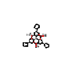 O=C(O)c1cc(-c2ccccc2)cc(C(=O)O)c1N(c1c(C(=O)O)cc(-c2ccccc2)cc1C(=O)O)c1c(C(=O)O)cc(-c2ccccc2)cc1C(=O)O